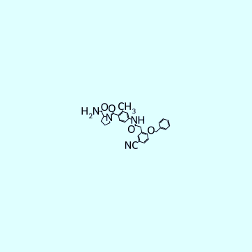 Cc1cc(NC(=O)Cc2cc(C#N)ccc2OCc2ccccc2)ccc1C(=O)N1CCCC1C(N)=O